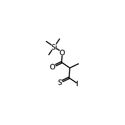 CC(C(=O)O[Si](C)(C)C)C(=S)I